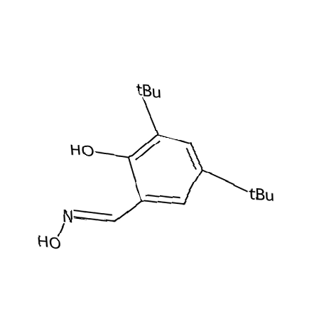 CC(C)(C)c1cc(C=NO)c(O)c(C(C)(C)C)c1